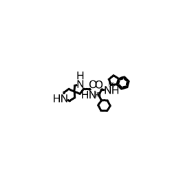 O=C(N[C@H](C(=O)N[C@@H]1CCc2ccccc21)C1CCCCC1)C1CC2(CCNCC2)CN1